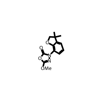 COc1nn(-c2cccc3c2OCC3(C)C)c(=O)o1